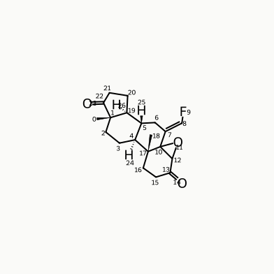 C[C@]12CC[C@H]3[C@@H](C/C(=C\F)C45OC4C(=O)CC[C@]35C)[C@@H]1CCC2=O